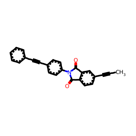 CC#Cc1ccc2c(c1)C(=O)N(c1ccc(C#Cc3ccccc3)cc1)C2=O